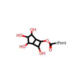 CCCCCC(=O)OC1C(O)C2C(O)C(O)C(O)C12